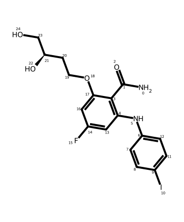 NC(=O)c1c(Nc2ccc(I)cc2)cc(F)cc1OCC[C@@H](O)CO